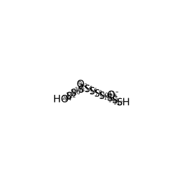 O=C(CSCSCSCSCC[S+]([O-])CSCS)SCCSCSCO